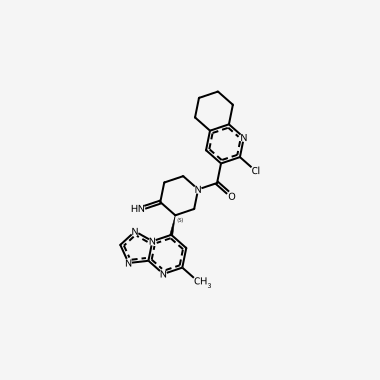 Cc1cc([C@@H]2CN(C(=O)c3cc4c(nc3Cl)CCCC4)CCC2=N)n2ncnc2n1